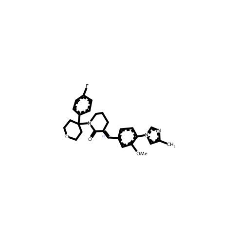 COc1cc(/C=C2\CCCN(C3(c4ccc(F)cc4)CCOCC3)C2=O)ccc1-n1cnc(C)c1